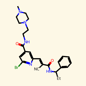 CCC(NC(=O)/C(C#N)=C/c1cc(C(=O)NCCN2CCN(C)CC2)cc(Br)n1)c1ccccc1